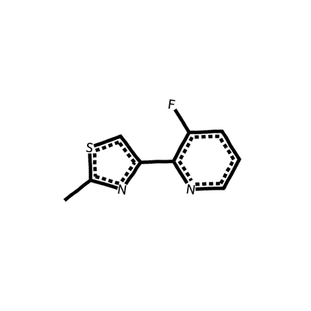 Cc1nc(-c2ncccc2F)cs1